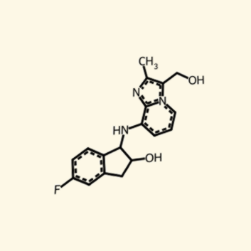 Cc1nc2c(NC3c4ccc(F)cc4CC3O)cccn2c1CO